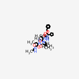 C=CCNC(=O)C(=O)C(CCC)NC(=O)[C@@H]1[C@@H]2[C@H](CN1C(=O)[C@@H](NC(=O)N[C@H](C(=O)OCc1ccccc1)C1CCCC1)C(C)(C)C)C2(C)C